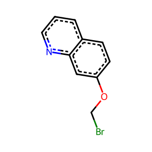 BrCOc1ccc2cccnc2c1